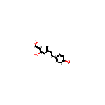 C=C(/C=C/c1ccc(O)cc1)/C=C(O)\C=C\O